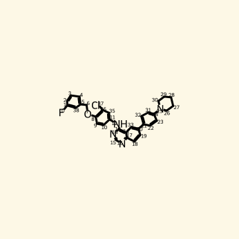 Fc1cccc(COc2ccc(Nc3ncnc4ccc(-c5ccc(N6CCCCC6)cc5)cc34)cc2Cl)c1